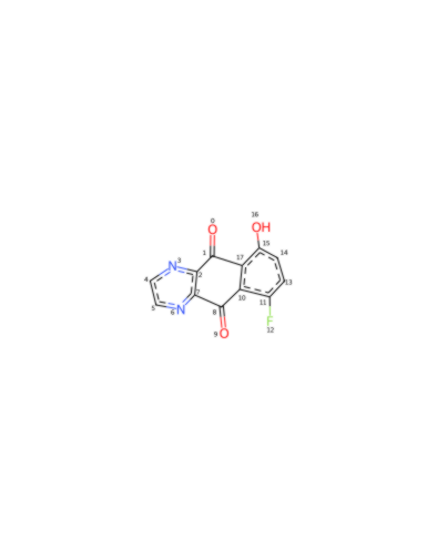 O=C1c2nccnc2C(=O)c2c(F)ccc(O)c21